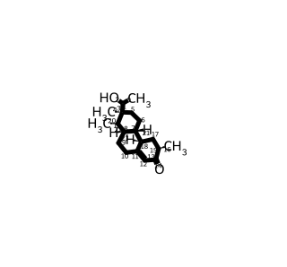 CC(O)[C@@]1(C)CC[C@H]2[C@@H](CCC3=CC(=O)[C@@H](C)C[C@@H]32)[C@@H]1C